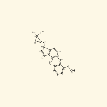 OCc1cccnc1Oc1ccc2c(nnn2CC2CC2(F)F)c1Br